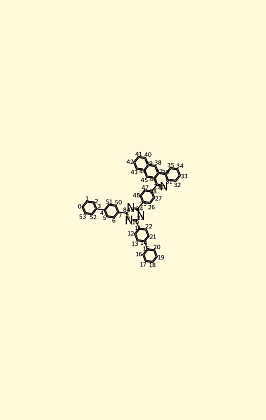 c1ccc(-c2ccc(-c3nc(-c4ccc(-c5ccccc5)cc4)nc(-c4ccc(-c5nc6ccccc6c6cc7ccccc7cc56)cc4)n3)cc2)cc1